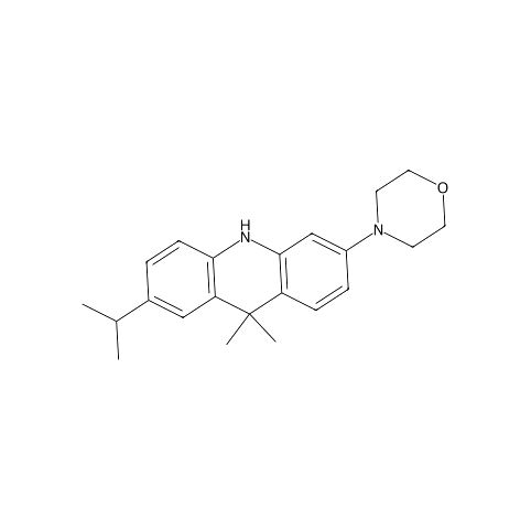 CC(C)c1ccc2c(c1)C(C)(C)c1ccc(N3CCOCC3)cc1N2